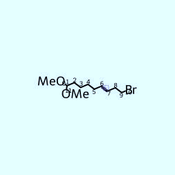 COC(CCCC/C=C/CCBr)OC